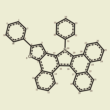 c1ccc(-c2cc3c(o2)c2ccccc2c2c4c5ccccc5c5ccccc5c4n(-c4ccccc4)c32)cc1